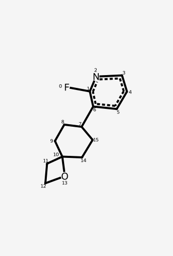 Fc1ncccc1C1CCC2(CCO2)CC1